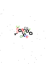 CC(C(=O)OC(Cc1c(Cl)c[n+]([O-])cc1Cl)c1ccc(OC(F)F)c(OCC2CC2)c1)c1ccc(-c2ccccc2)c(F)c1